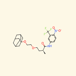 C[C@@H](CCOCCOC12CC3CC(CC(C3)C1)C2)C(=O)Nc1ccc([N+](=O)[O-])c(C(F)(F)F)c1